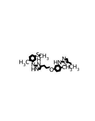 CCc1cnc(Nc2cc(OCCCc3cnc(Nc4cc(SC)ccc4C)[nH]3)ccc2C)s1